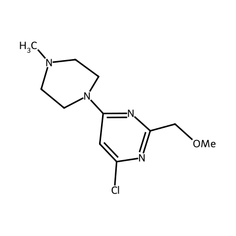 COCc1nc(Cl)cc(N2CCN(C)CC2)n1